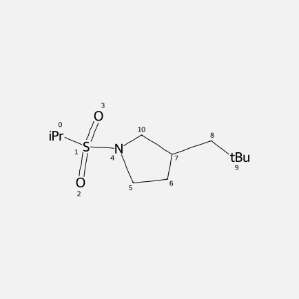 CC(C)S(=O)(=O)N1CCC(CC(C)(C)C)C1